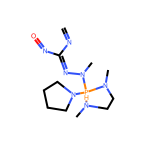 C=N/C(N=O)=N\N(C)[PH]1(N2CCCC2)N(C)CCN1C